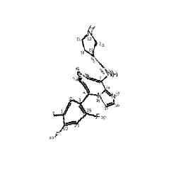 Cc1cc(-c2cnc(N[C@H]3CCNC3)c3nccn23)c(F)cc1F